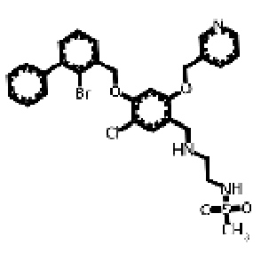 CS(=O)(=O)NCCNCc1cc(Cl)c(OCc2cccc(-c3ccccc3)c2Br)cc1OCc1cccnc1